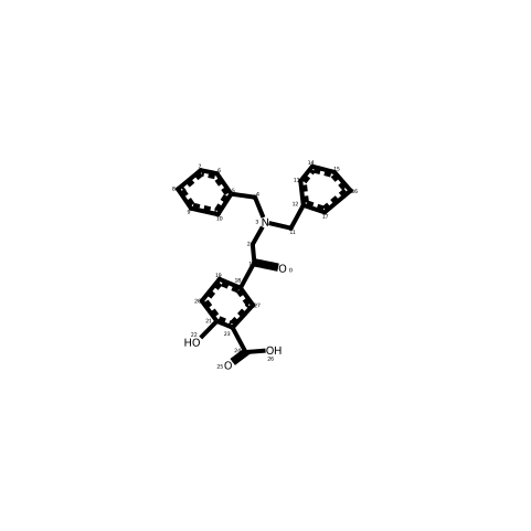 O=C(CN(Cc1ccccc1)Cc1ccccc1)c1ccc(O)c(C(=O)O)c1